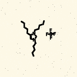 CCCCCC1=CN(CCCCC)CN1CCCCC.F[B-](F)(F)F